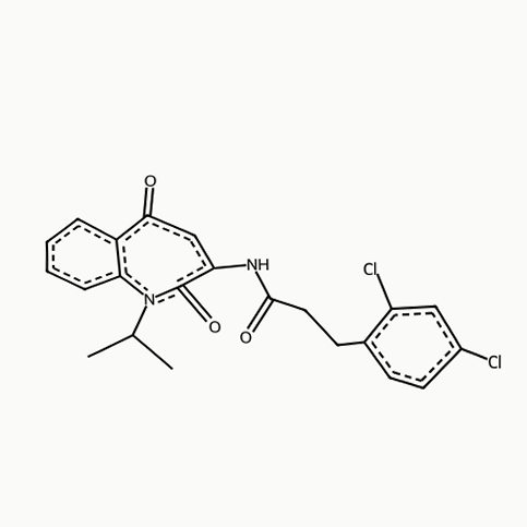 CC(C)n1c(=O)c(NC(=O)CCc2ccc(Cl)cc2Cl)cc(=O)c2ccccc21